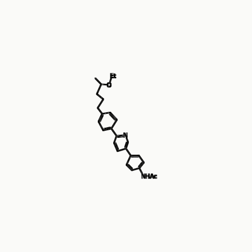 CCOC(C)CCCc1ccc(-c2ccc(-c3ccc(NC(C)=O)cc3)cn2)cc1